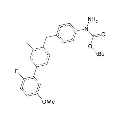 COc1ccc(F)c(-c2ccc(Cc3ccc(N(N)C(=O)OC(C)(C)C)cc3)c(C)c2)c1